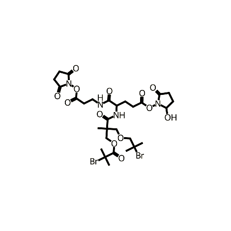 CC(C)(Br)COCC(C)(COC(=O)C(C)(C)Br)C(=O)NC(CCC(=O)ON1C(=O)CCC1O)C(=O)NCCC(=O)ON1C(=O)CCC1=O